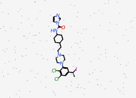 C[C@H](I)c1cc(Cl)c(Cl)c(N2CCN(CCC3CCC(NC(=O)n4ccnc4)CC3)CC2)c1